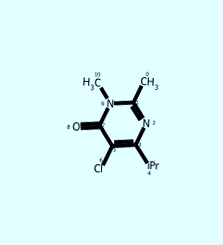 Cc1nc(C(C)C)c(Cl)c(=O)n1C